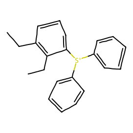 CCc1cccc([S+](c2ccccc2)c2ccccc2)c1CC